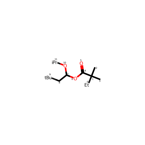 CCC(C)(C)C(=O)OC(CC(C)(C)C)OC(C)C